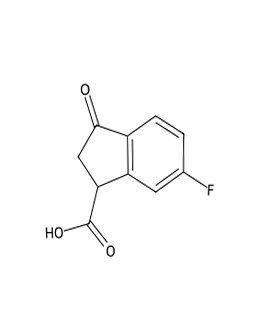 O=C1CC(C(=O)O)c2cc(F)ccc21